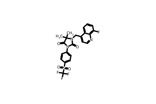 CC1(C)C(=O)N(c2ccc(S(=O)(=O)C(F)(F)F)cc2)C(=O)N1Cc1ccnc2c(F)cccc12